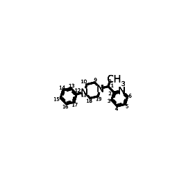 CC(c1ccccn1)N1CCN(c2ccccc2)CC1